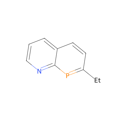 CCc1ccc2cccnc2p1